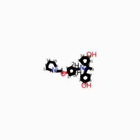 [2H]C([2H])(c1ccc(OCCN2CCCCCC2)cc1)n1c(-c2ccc(O)cc2)c(C)c2cc(O)ccc21